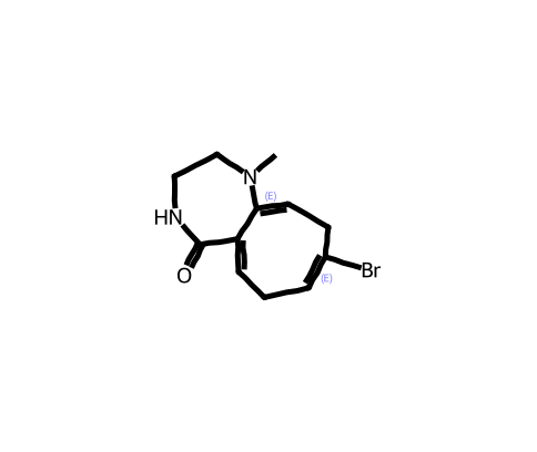 CN1CCNC(=O)C2=CC/C=C(/Br)C/C=C\21